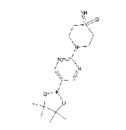 CC1(C)OB(c2cnc(N3CCS(=N)(=O)CC3)nc2)OC1(C)C